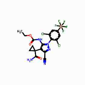 CCOC(=O)Nc1c(C2(C(N)=O)CC2)c(C#N)nn1-c1c(Cl)cc(S(F)(F)(F)(F)F)cc1Cl